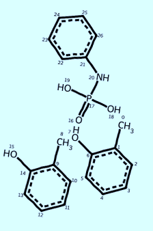 Cc1ccccc1O.Cc1ccccc1O.O=P(O)(O)Nc1ccccc1